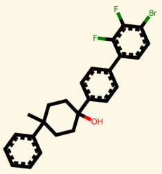 CC1(c2ccccc2)CCC(O)(c2ccc(-c3ccc(Br)c(F)c3F)cc2)CC1